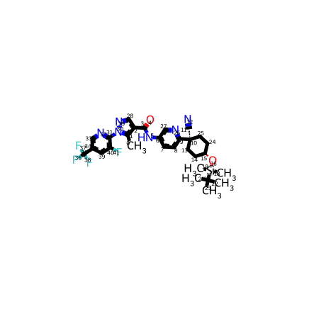 Cc1c(C(=O)Nc2ccc([C@]3(C#N)CC[C@@H](O[Si](C)(C)C(C)(C)C)CC3)nc2)cnn1-c1ncc(C(F)(F)F)cc1F